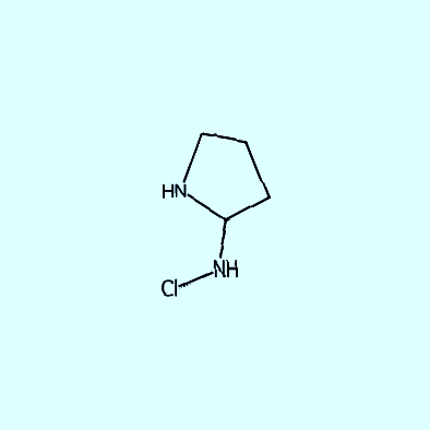 ClNC1CCCN1